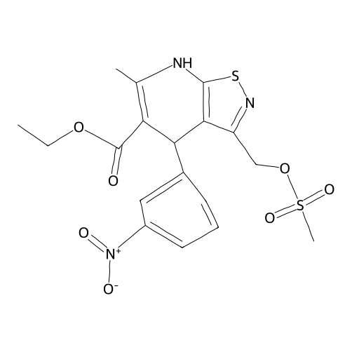 CCOC(=O)C1=C(C)Nc2snc(COS(C)(=O)=O)c2C1c1cccc([N+](=O)[O-])c1